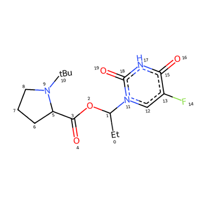 CCC(OC(=O)C1CCCN1C(C)(C)C)n1cc(F)c(=O)[nH]c1=O